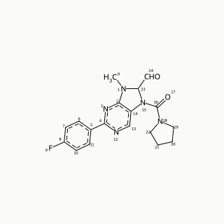 CN1c2nc(-c3ccc(F)cc3)ncc2N(C(=O)N2CCCC2)C1C=O